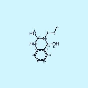 [CH2]CCN1C(O)Nc2ccccc2C1O